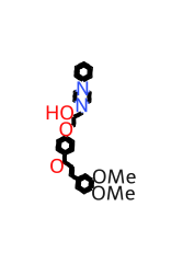 COc1ccc(C=CC(=O)c2ccc(OCC(O)CN3CCN(c4ccccc4)CC3)cc2)cc1OC